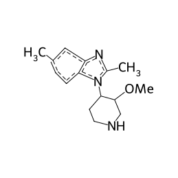 COC1CNCCC1n1c(C)nc2cc(C)ccc21